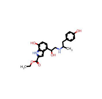 CCOC(=O)c1cc2c(C(O)CNC(C)Cc3ccc(O)cc3)ccc(O)c2[nH]1